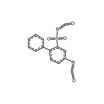 O=C=Nc1ccc(-c2ccccc2)c(S(=O)(=O)N=C=O)c1